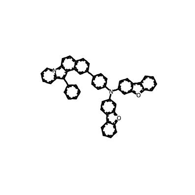 c1ccc(-c2c3c4cc(-c5ccc(N(c6ccc7c(c6)oc6ccccc67)c6ccc7c(c6)oc6ccccc67)cc5)ccc4ccc3n3ccccc23)cc1